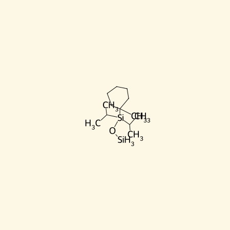 CC(C)[Si](O[SiH3])(C(C)C)C1(C)CCCCC1